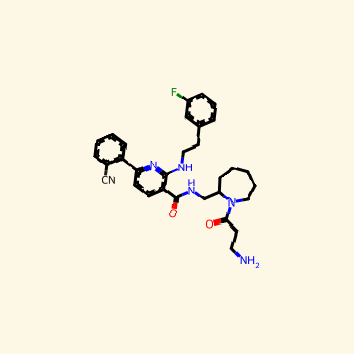 N#Cc1ccccc1-c1ccc(C(=O)NCC2CCCCCN2C(=O)CCN)c(NCCc2cccc(F)c2)n1